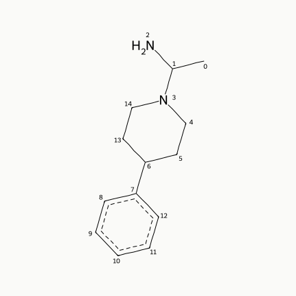 CC(N)N1CCC(c2ccccc2)CC1